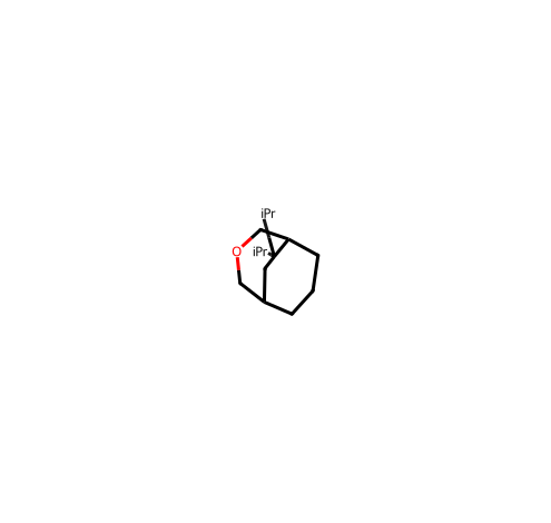 CC(C)C1(C(C)C)CC2CCCC1COC2